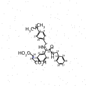 CN(C)c1ccc(CNC(C(=O)NCc2ccccc2)c2ccccc2)cc1.O=C(O)/C=C/C(=O)O